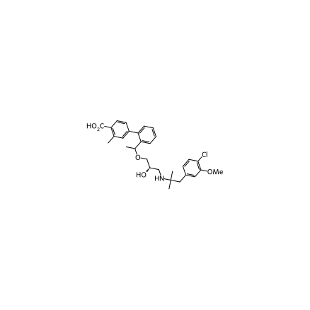 COc1cc(CC(C)(C)NC[C@@H](O)COC(C)c2ccccc2-c2ccc(C(=O)O)c(C)c2)ccc1Cl